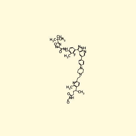 Cc1nc(CCN2CCN(c3ccc(-c4cnc5[nH]nc(-c6ccc(CNC(=O)c7noc(C(C)(C)C)n7)c(C)c6F)c5c4)cc3)CC2)ccc1C(C)CCC(=O)NC=O